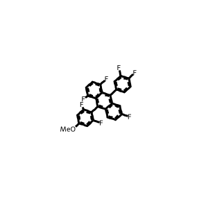 COc1cc(F)c(-c2c3ccc(F)cc3c(-c3ccc(F)c(F)c3)c3c(F)ccc(F)c23)c(F)c1